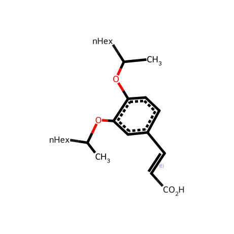 CCCCCCC(C)Oc1ccc(/C=C/C(=O)O)cc1OC(C)CCCCCC